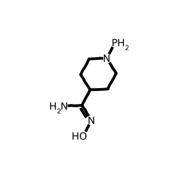 N/C(=N\O)C1CCN(P)CC1